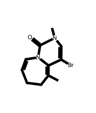 CC1=C2C(Br)=CN(C)C(=O)N2C=CCC1